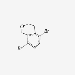 Brc1ccc(Br)c2c1CCOC2